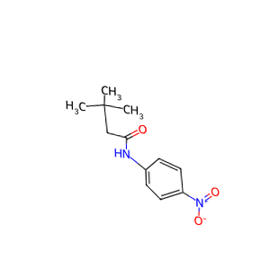 CC(C)(C)CC(=O)Nc1ccc([N+](=O)[O-])cc1